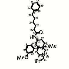 COc1cccc([C@]23CC[N@@+](C)(CC(C)C)CC2(OC)CC[C@H](NC(=O)CCCCCc2ccccc2)C3)c1